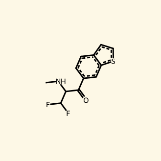 CNC(C(=O)c1ccc2ccsc2c1)C(F)F